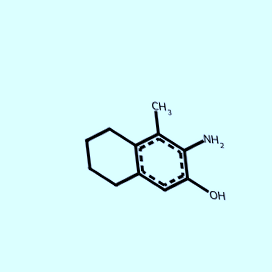 Cc1c(N)c(O)cc2c1CCCC2